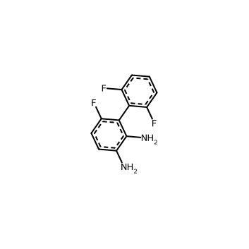 Nc1ccc(F)c(-c2c(F)cccc2F)c1N